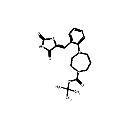 CC(C)(C)OC(=O)N1CCCN(c2ccccc2/C=C2\SC(=O)NC2=O)CC1